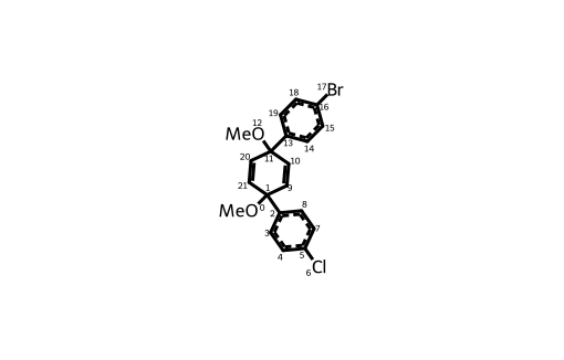 COC1(c2ccc(Cl)cc2)C=CC(OC)(c2ccc(Br)cc2)C=C1